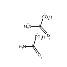 NC(=O)C(=O)O.NC(=O)C(=O)O